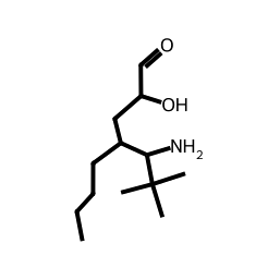 CCCCC(CC(O)C=O)C(N)C(C)(C)C